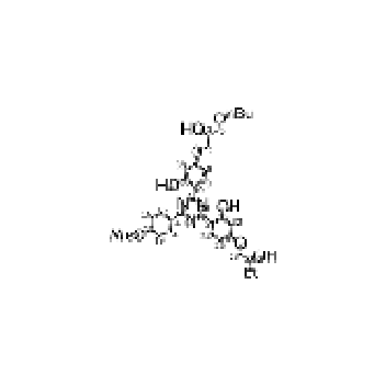 CCCCOCC(O)COc1ccc(-c2nc(-c3ccc(OC)cc3)nc(-c3ccc(OCC(O)CC)cc3O)n2)c(O)c1